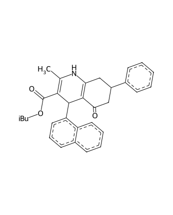 CCC(C)OC(=O)C1=C(C)NC2=C(C(=O)CC(c3ccccc3)C2)C1c1cccc2ccccc12